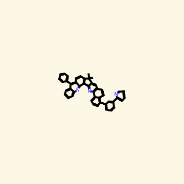 CC1(C)c2cc3ccc4c(-c5cccc(-c6ccccn6)c5)cccc4c3nc2-c2c1ccc1c(-c3ccccc3)c3ccccc3nc21